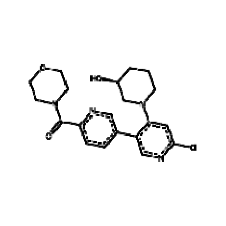 O=C(c1ccc(-c2cnc(Cl)cc2N2CCC[C@H](O)C2)cn1)N1CCOCC1